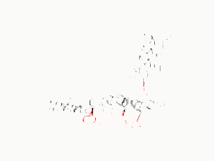 O=C([O-])[O-].O=C([O-])[O-].O=C([O-])[O-].O=C([O-])[O-].O=C([O-])[O-].O=C([O-])[O-].[Mg+2].[Mg+2].[Mg+2].[Mg+2].[Mg+2].[Mg+2]